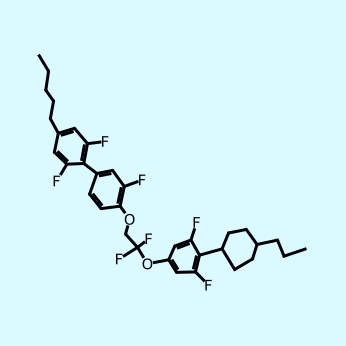 CCCCCc1cc(F)c(-c2ccc(OCC(F)(F)Oc3cc(F)c(C4CCC(CCC)CC4)c(F)c3)c(F)c2)c(F)c1